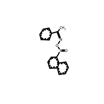 CC(=NOS(=O)c1cccc2ccccc12)c1ccccc1